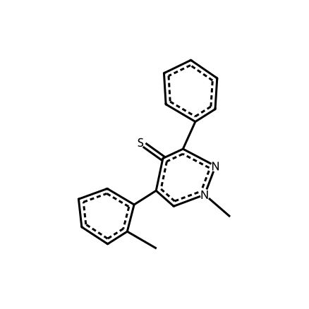 Cc1ccccc1-c1cn(C)nc(-c2ccccc2)c1=S